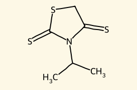 CC(C)N1C(=S)CSC1=S